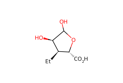 CC[C@@H]1[C@@H](C(=O)O)OC(O)[C@@H]1O